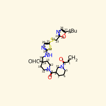 C=CC(=O)N1CCCC(C(=O)N2CCC(C=O)(CNc3ncc(SCc4ncc(C(C)(C)C)o4)s3)CC2)C1